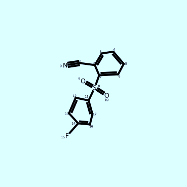 N#Cc1ccccc1S(=O)(=O)c1ccc(F)cc1